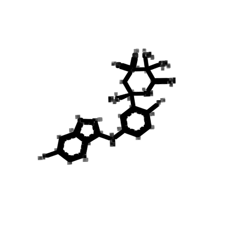 CC1(C)C(=N)N[C@](C)(c2cc(Nc3noc4cc(F)cnc34)ccc2F)CS1(=O)=O